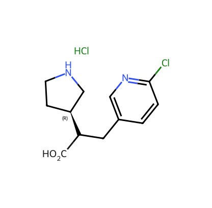 Cl.O=C(O)C(Cc1ccc(Cl)nc1)[C@H]1CCNC1